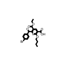 CCCCOc1nc(C(=O)c2ccc(Br)cc2)c(C(=O)OCC)cc1C(=O)O